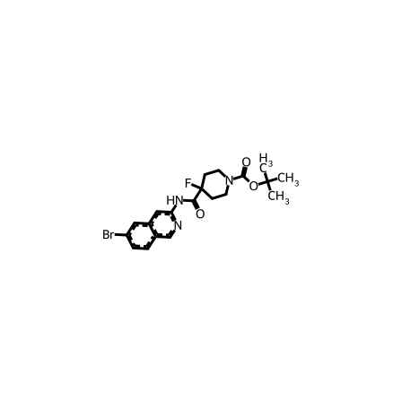 CC(C)(C)OC(=O)N1CCC(F)(C(=O)Nc2cc3cc(Br)ccc3cn2)CC1